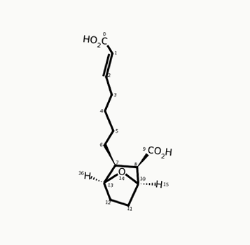 O=C(O)/C=C/CCCC[C@H]1[C@@H](C(=O)O)[C@H]2CC[C@@H]1O2